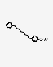 CC(C)COc1ccc(CCCCCCCCc2ccccc2)cc1